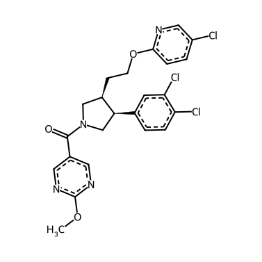 COc1ncc(C(=O)N2C[C@@H](CCOc3ccc(Cl)cn3)[C@@H](c3ccc(Cl)c(Cl)c3)C2)cn1